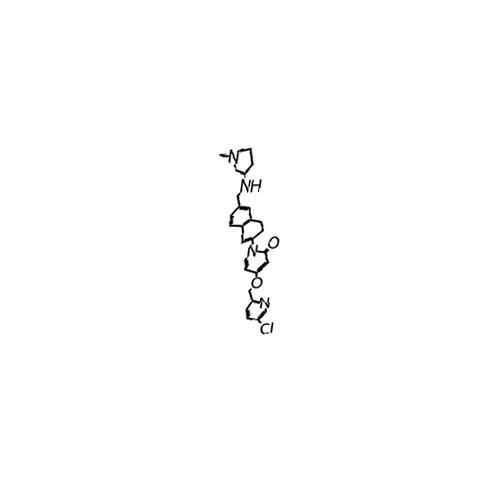 CN1CCC[C@H](NCc2ccc3c(c2)CCC(n2ccc(OCc4ccc(Cl)cn4)cc2=O)=C3)C1